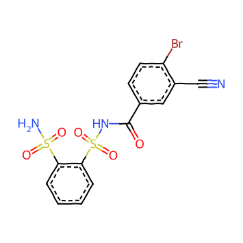 N#Cc1cc(C(=O)NS(=O)(=O)c2ccccc2S(N)(=O)=O)ccc1Br